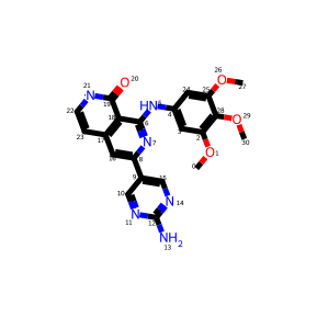 COc1cc(Nc2nc(-c3cnc(N)nc3)cc3c2C(=O)[N]C=C3)cc(OC)c1OC